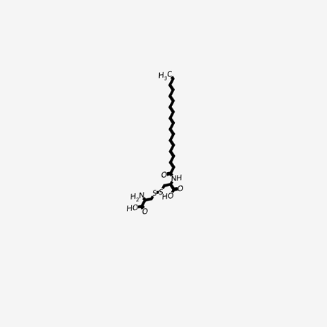 CCCCCCCCCCCCCCCCCCC(=O)NC(CSSCC(N)C(=O)O)C(=O)O